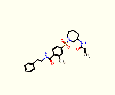 C=CC(=O)NC1CCCCN(S(=O)(=O)c2ccc(C(=O)NCCc3ccccc3)c(C)c2)C1